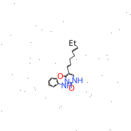 CCC=CCCC=Cc1c[nH]c(=O)n(Nc2ccccc2)c1=O